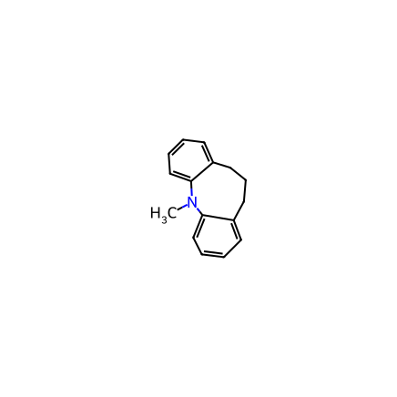 CN1c2ccccc2CCCc2ccccc21